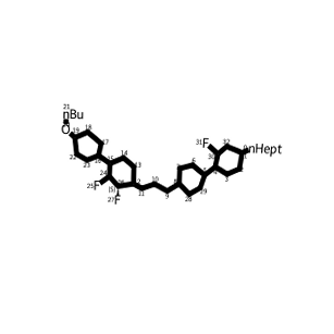 CCCCCCCC1CCC(C2CCC(CCCC3CCC(C4CCC(OCCCC)CC4)C(F)[C@H]3F)CC2)C(F)C1